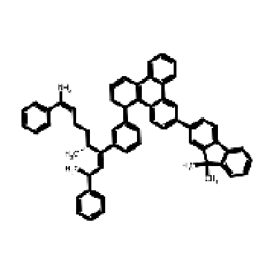 CC(/C=C(/c1cccc(C2CC=Cc3c2c2ccc(-c4ccc5c(c4)C(C)(C)c4ccccc4-5)cc2c2ccccc32)c1)[C@H](C)CC/C=C(/N)c1ccccc1)c1ccccc1